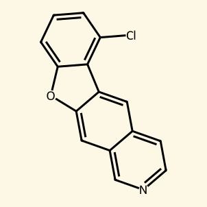 Clc1cccc2oc3cc4cnccc4cc3c12